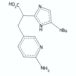 CCCCc1cnc(C(Cc2ccc(N)nc2)C(=O)O)[nH]1